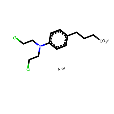 O=C(O)CCCc1ccc(N(CCCl)CCCl)cc1.[NaH]